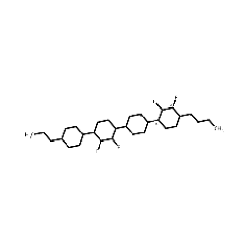 CCCCC1CC[C@@H](C2CCC(C3CCC(C4CCC(CCC)CC4)C(F)C3F)CC2)C(F)[C@H]1F